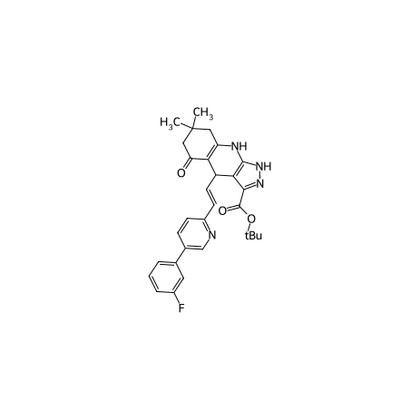 CC1(C)CC(=O)C2=C(C1)Nc1[nH]nc(C(=O)OC(C)(C)C)c1C2/C=C/c1ccc(-c2cccc(F)c2)cn1